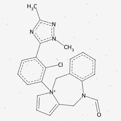 Cc1nc(-c2cccc([N+]34C=CC=C3CN(C=O)c3ccccc3C4)c2Cl)n(C)n1